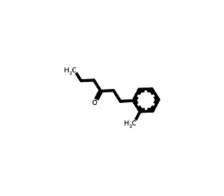 CCCC(=O)CCc1ccccc1C